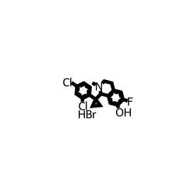 Br.CN1CCc2cc(F)c(O)cc2C1C1(c2ccc(Cl)cc2Cl)CC1